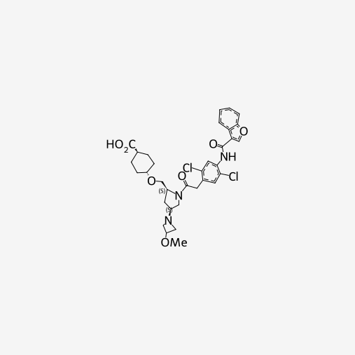 COC1CN([C@H]2C[C@@H](CO[C@H]3CC[C@H](C(=O)O)CC3)N(C(=O)Cc3cc(Cl)c(NC(=O)c4coc5ccccc45)cc3Cl)C2)C1